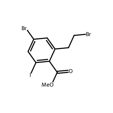 COC(=O)c1c(I)cc(Br)cc1CCBr